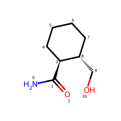 NC(=O)[C@H]1CCCC[C@@H]1CO